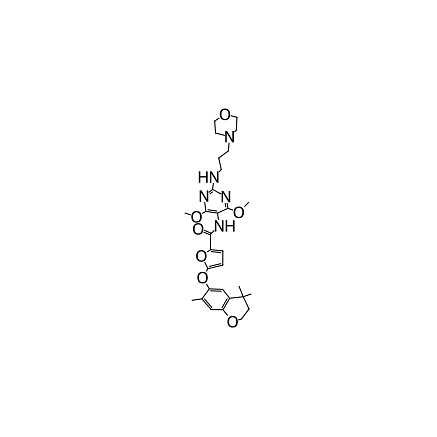 COc1nc(NCCCN2CCOCC2)nc(OC)c1NC(=O)c1ccc(Oc2cc3c(cc2C)OCCC3(C)C)o1